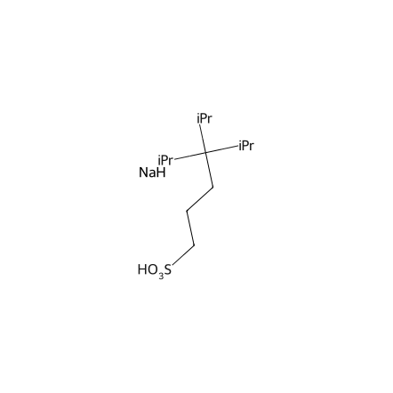 CC(C)C(CCCS(=O)(=O)O)(C(C)C)C(C)C.[NaH]